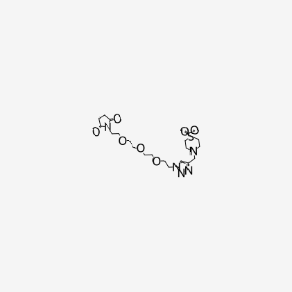 O=C1CCC(=O)N1CCOCCOCCOCCn1cc(CN2CCS(=O)(=O)CC2)nn1